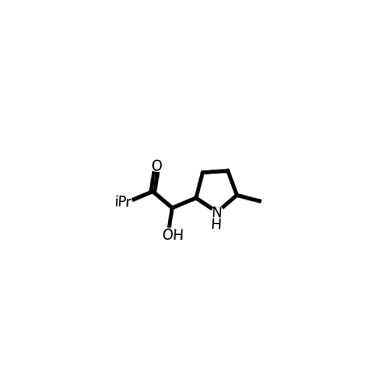 CC1CCC(C(O)C(=O)C(C)C)N1